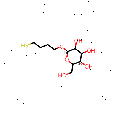 OCC1O[C@@H](OCCCCS)C(O)C(O)[C@H]1O